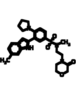 Cc1ccc2cc(-c3cc(S(=O)(=O)N(C)CCN4CCOCC4=O)ccc3N3CCCC3)[nH]c2c1